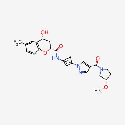 O=C(NC12CC(n3cc(C(=O)N4CC[C@H](OC(F)(F)F)C4)cn3)(C1)C2)[C@H]1C[C@@H](O)c2cc(C(F)(F)F)ccc2O1